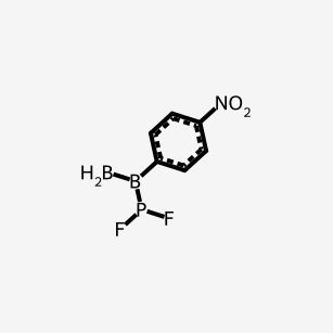 BB(c1ccc([N+](=O)[O-])cc1)P(F)F